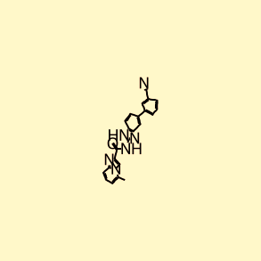 Cc1cccc2nc(C(=O)Nc3nc4cc(-c5cccc(C#N)c5)ccc4[nH]3)cn12